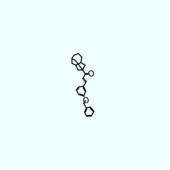 O=C(/C=C/c1cccc(OCc2ccccc2)c1)C12CC3CCCC(C1)C(C3)C2